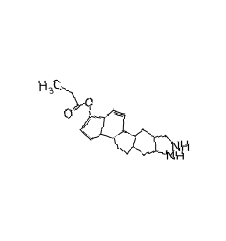 CCC(=O)OC1=CCC2C1C=CC1C3CC4CNNC4CC3CCC12